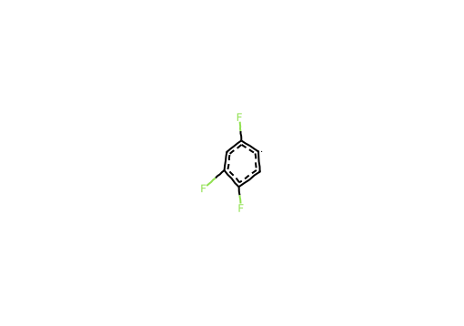 Fc1[c]cc(F)c(F)c1